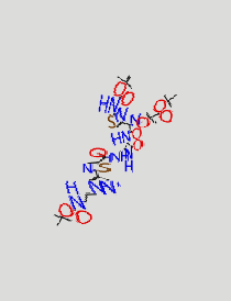 C[n+]1cc(-c2ncc(C(=O)NC[C@H]3NC(=O)[C@H]3NC(=O)/C(=N\OC(C)(C)C(=O)OC(C)(C)C)c3csc(NC(=O)OC(C)(C)C)n3)s2)cn1CCCNC(=O)OC(C)(C)C